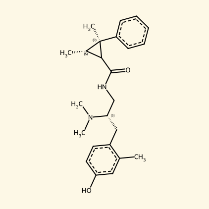 Cc1cc(O)ccc1C[C@@H](CNC(=O)C1[C@H](C)[C@@]1(C)c1ccccc1)N(C)C